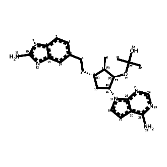 C[C@@H]1[C@@H](CCc2ccc3sc(N)nc3c2)C[C@@H](n2ccc3c(N)ncnc32)[C@@H]1OC(C)(C)O